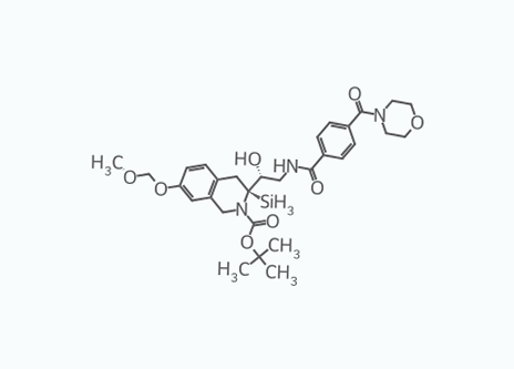 COCOc1ccc2c(c1)CN(C(=O)OC(C)(C)C)[C@@]([SiH3])([C@H](O)CNC(=O)c1ccc(C(=O)N3CCOCC3)cc1)C2